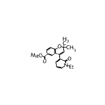 CCn1cccc(C2=CC(C)(C)Oc3ccc(C(=O)OC)cc32)c1=O